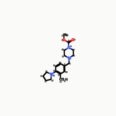 CC(C)(C)OC(=O)N1CCN(Cc2ccc(N3CCCC3)c(C(=O)O)c2)CC1